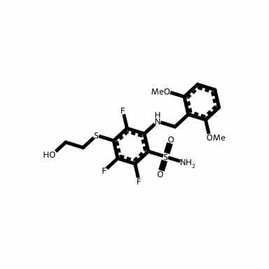 COc1cccc(OC)c1CNc1c(F)c(SCCO)c(F)c(F)c1S(N)(=O)=O